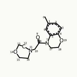 Cc1ccc2c(c1)N(C(=O)CN1CCOCC1)CCO2